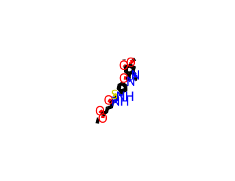 CCOC(=O)CCCC(=O)NC(=S)Nc1ccc(Oc2ncnc3cc(OC)c(OC)cc23)cc1